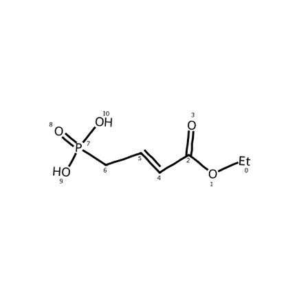 CCOC(=O)/C=C/CP(=O)(O)O